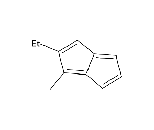 CCC1=CC2=CC=CC2=C1C